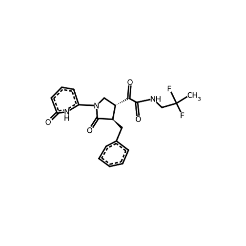 CC(F)(F)CNC(=O)C(=O)[C@H]1CN(c2cccc(=O)[nH]2)C(=O)[C@@H]1Cc1ccccc1